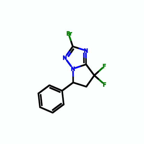 FC1(F)CC(c2ccccc2)n2nc(Br)nc21